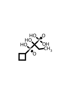 CCC(O)(P(=O)(O)O)P(=O)(O)C1CCC1